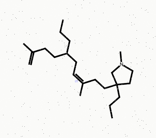 C=C(C)CCC(C/C=C(/C)CCC1(CCC)CCN(C)C1)CCC